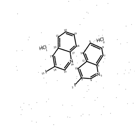 Cl.Cl.Ic1cnc2ccccc2c1.Ic1cnc2ccccc2c1